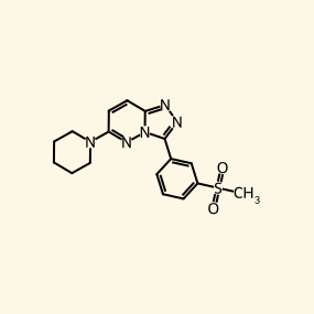 CS(=O)(=O)c1cccc(-c2nnc3ccc(N4CCCCC4)nn23)c1